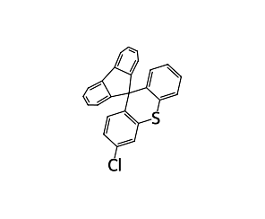 Clc1ccc2c(c1)Sc1ccccc1C21c2ccccc2-c2ccccc21